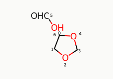 C1COCO1.O=CO